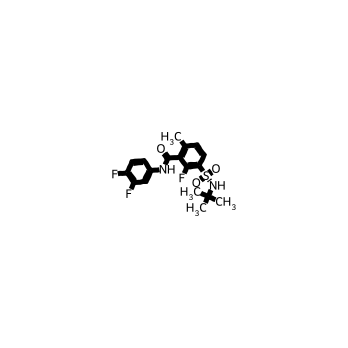 Cc1ccc(S(=O)(=O)NC(C)(C)C)c(F)c1C(=O)Nc1ccc(F)c(F)c1